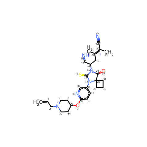 C=CCN1CCC(Oc2ccc(N3C(=S)N(C(C=N)C/C(C)=C(\C)C#N)C(=O)C34CCC4)cn2)CC1